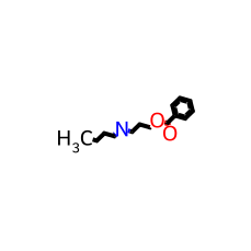 CCCC=NCCCOC(=O)c1ccccc1